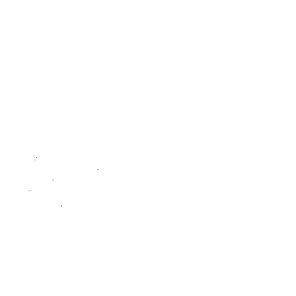 CNC1(C(C)=O)CN(CCCc2cccc(-c3cccc(Cl)c3)c2)CCN1[C]=O